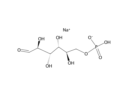 O=C[C@@H](O)[C@@H](O)[C@H](O)[C@H](O)COP(=O)([O-])O.[Na+]